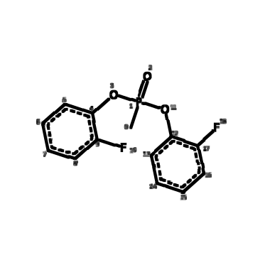 CP(=O)(Oc1ccccc1F)Oc1ccccc1F